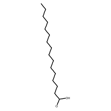 CCCCCCCCCCCCCCCC([O])O